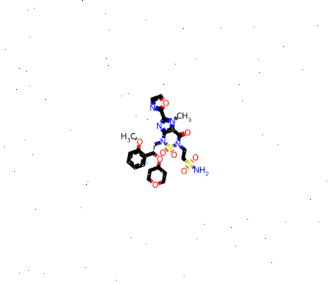 COc1ccccc1[C@H](CN1c2nc(-c3ncco3)n(C)c2C(=O)N(CCS(N)(=O)=O)S1(=O)=O)OC1CCOCC1